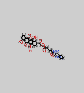 COc1cccc2c1C(=O)c1c(O)c3c(c(O)c1C2=O)CC(C(=O)COC(=O)CCCC(=O)N[C@H](Cc1ccccc1)C(N)=O)CC3